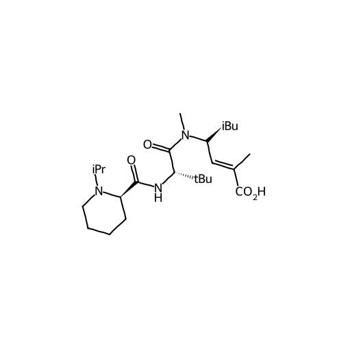 CC[C@H](C)C(/C=C(\C)C(=O)O)N(C)C(=O)[C@@H](NC(=O)[C@H]1CCCCN1C(C)C)C(C)(C)C